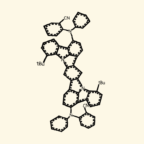 CC(C)(C)c1cccc2c3c(N(c4ccccc4)c4ccccc4C#N)ccc4c5cc6c(cc5n(c12)c43)c1ccc(N(c2ccccc2)c2ccccc2C#N)c2c3cccc(C(C)(C)C)c3n6c12